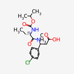 CC[C@H](NC(=O)OC(C)C)C(=O)N(C)C(CC(=O)O)c1ccc(Cl)cc1